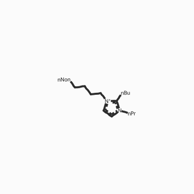 CCCCCCCCCCCCC[n+]1ccn(CCC)c1CCCC